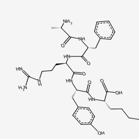 C[C@H](N)C(=O)N[C@H](Cc1ccccc1)C(=O)N[C@H](CCCNC(=N)N)C(=O)N[C@@H](Cc1ccc(O)cc1)C(=O)N[C@@H](CCCCN)C(=O)O